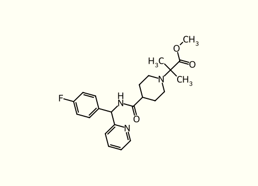 COC(=O)C(C)(C)N1CCC(C(=O)NC(c2ccc(F)cc2)c2ccccn2)CC1